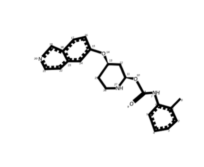 Cc1ccccc1NC(=O)O[C@@H]1C[C@H](Oc2ccc3cnccc3c2)CCN1